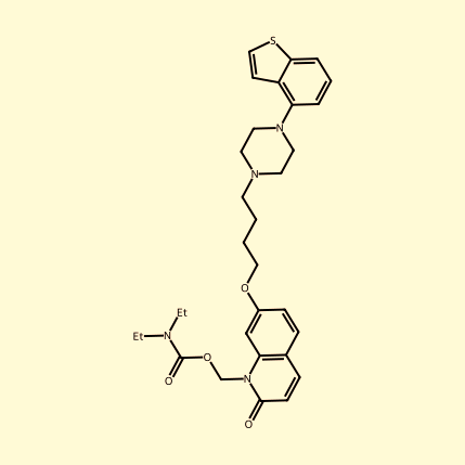 CCN(CC)C(=O)OCn1c(=O)ccc2ccc(OCCCCN3CCN(c4cccc5sccc45)CC3)cc21